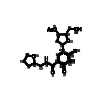 CC(=O)O[C@@H]1C[C@H](n2cc(C(=O)NC[C@H]3CCCO3)c(=O)[nH]c2=O)O[C@@H]1CO